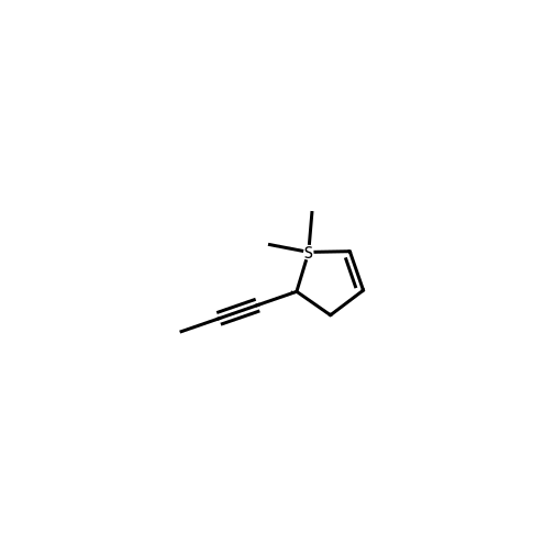 CC#C[C]1CC=CS1(C)C